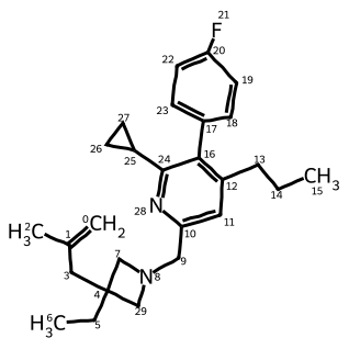 C=C(C)CC1(CC)CN(Cc2cc(CCC)c(-c3ccc(F)cc3)c(C3CC3)n2)C1